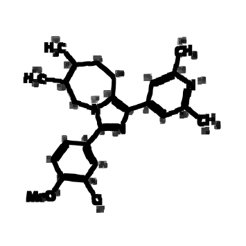 COc1ccc(-c2nc(-c3cc(C)nc(C)c3)c3n2CC(C)C(C)CC3)cc1Cl